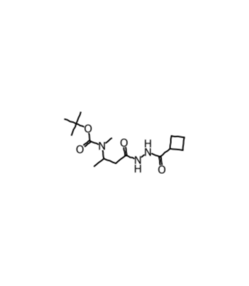 CC(CC(=O)NNC(=O)C1CCC1)N(C)C(=O)OC(C)(C)C